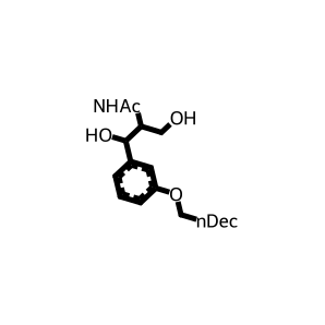 CCCCCCCCCCCOc1cccc(C(O)C(CO)NC(C)=O)c1